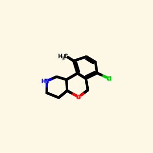 Cc1ccc(Cl)c2c1C1CNCCC1OC2